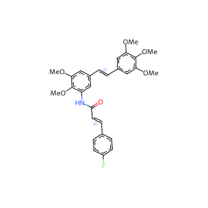 COc1cc(/C=C/c2cc(OC)c(OC)c(OC)c2)cc(NC(=O)/C=C/c2ccc(F)cc2)c1OC